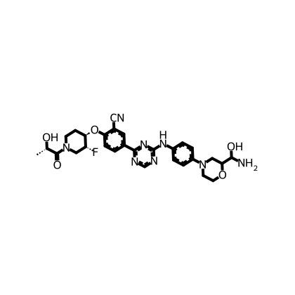 C[C@H](O)C(=O)N1CC[C@H](Oc2ccc(-c3ncnc(Nc4ccc(N5CCOC(C(N)O)C5)cc4)n3)cc2C#N)[C@H](F)C1